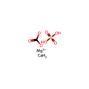 O=C([O-])[O-].O=S(=O)(O)O.[CaH2].[Mg+2]